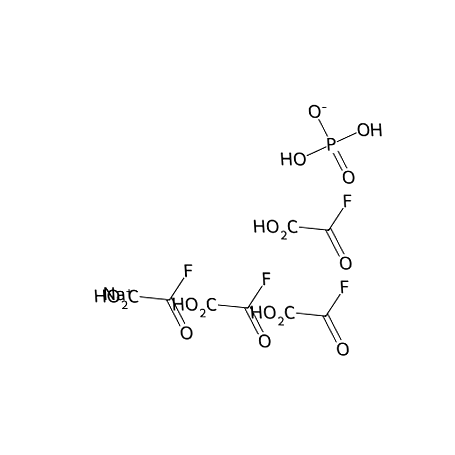 O=C(O)C(=O)F.O=C(O)C(=O)F.O=C(O)C(=O)F.O=C(O)C(=O)F.O=P([O-])(O)O.[Na+]